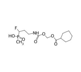 CP(=O)(O)C(F)CCNC(=O)OCOC(=O)C1CCCCC1